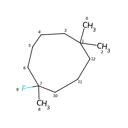 CC1(C)CCCCC(C)(F)CCC1